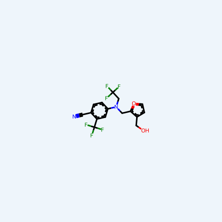 N#Cc1ccc(N(Cc2occc2CO)CC(F)(F)F)cc1C(F)(F)F